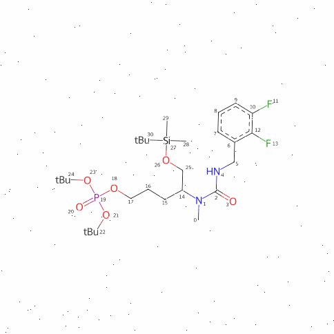 CN(C(=O)NCc1cccc(F)c1F)C(CCCOP(=O)(OC(C)(C)C)OC(C)(C)C)CO[Si](C)(C)C(C)(C)C